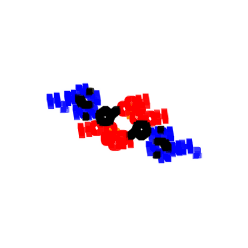 Nc1ncnc2c1ncn2C1CC2COP(=O)(O)OC3C(COP(=O)(O)OC2C1O)CC(n1cnc2c(N)ncnc21)C3O